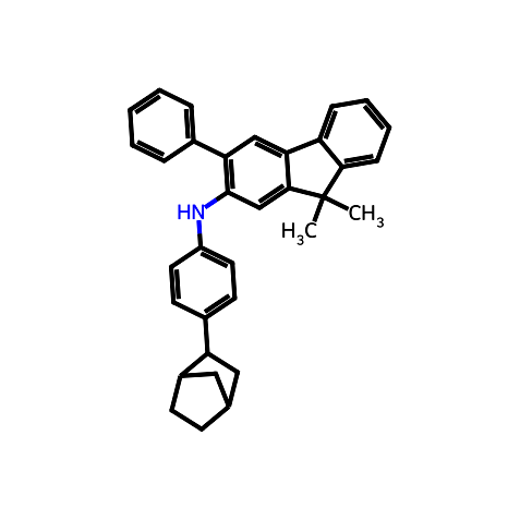 CC1(C)c2ccccc2-c2cc(-c3ccccc3)c(Nc3ccc(C4CC5CCC4C5)cc3)cc21